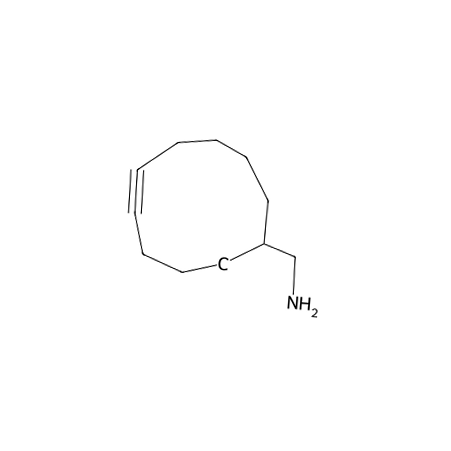 NCC1CCCC#CCCCC1